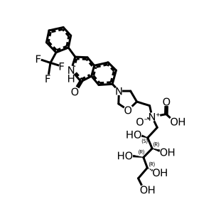 O=C(O)[N+]([O-])(CC1CN(c2ccc3cc(-c4ccccc4C(F)(F)F)[nH]c(=O)c3c2)CO1)C[C@H](O)[C@@H](O)[C@H](O)[C@H](O)CO